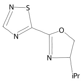 CC(C)C1COC(c2ncns2)=N1